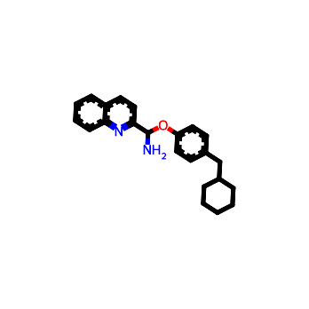 NC(Oc1ccc(CC2CCCCC2)cc1)c1ccc2ccccc2n1